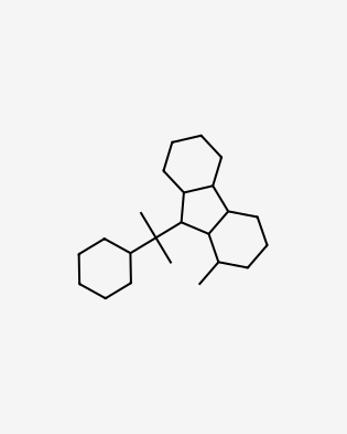 CC1CCCC2C3CCCCC3C(C(C)(C)C3CCCCC3)C12